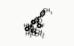 CN1CCN(CCN(Cc2ccc(C(=O)Nc3ccccc3NC(=O)OC(C)(C)C)cc2)C(=O)Nc2cccc(F)c2)CC1